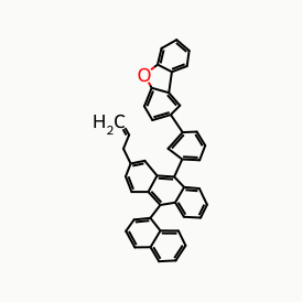 C=CCc1ccc2c(-c3cccc4ccccc34)c3ccccc3c(-c3cccc(-c4ccc5oc6ccccc6c5c4)c3)c2c1